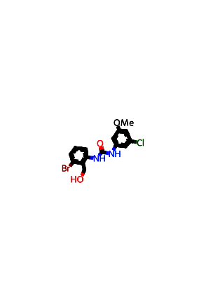 COc1cc(Cl)cc(NC(=O)Nc2cccc(Br)c2CO)c1